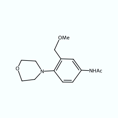 COCc1cc(NC(C)=O)ccc1N1CCOCC1